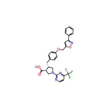 O=C(O)[C@@H]1CN(c2nccc(C(F)(F)F)n2)C[C@H]1Cc1ccc(OCc2cc(-c3ccccc3)no2)cc1